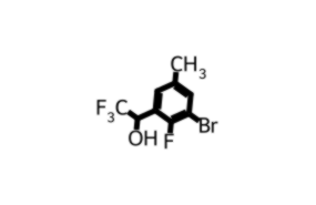 Cc1cc(Br)c(F)c(C(O)C(F)(F)F)c1